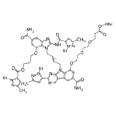 CCn1nc(C)cc1C(=O)Nc1nc2cc(C(N)=O)cc(OCCCOC(=O)c3cc(C)nn3CC)c2n1C/C=C/Cn1c2nc(-c3cc(C)nn3CC)ncc2c2cc(C(N)=O)cc(OCCOCCOCCC(=O)OC(C)(C)C)c21